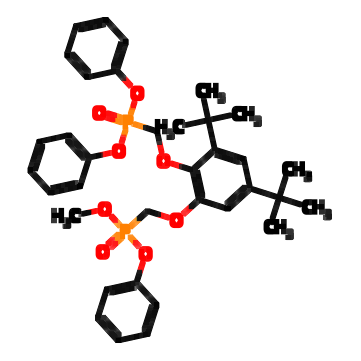 COP(=O)(COc1cc(C(C)(C)C)cc(C(C)(C)C)c1OCP(=O)(Oc1ccccc1)Oc1ccccc1)Oc1ccccc1